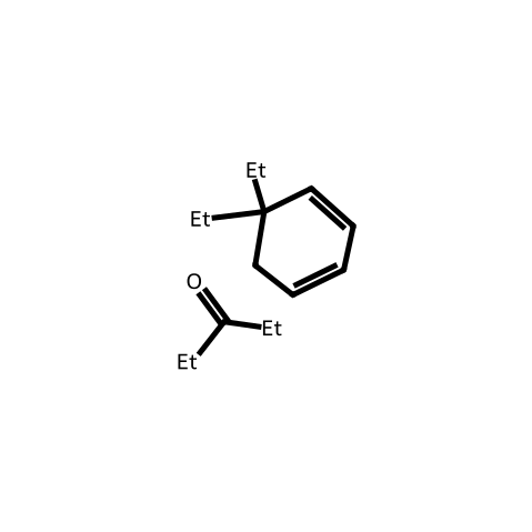 CCC(=O)CC.CCC1(CC)C=CC=CC1